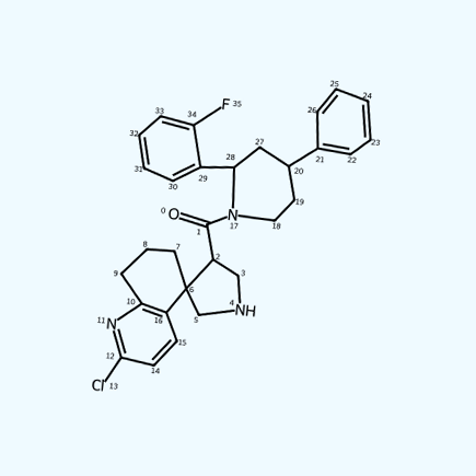 O=C(C1CNCC12CCCc1nc(Cl)ccc12)N1CCC(c2ccccc2)CC1c1ccccc1F